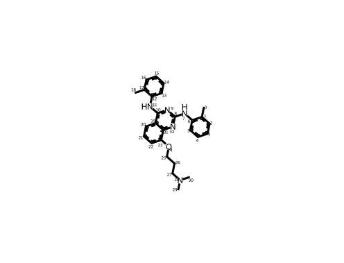 Cc1ccccc1Nc1nc(Nc2ccccc2C)c2cccc(OCCCN(C)C)c2n1